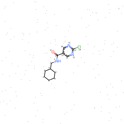 O=C(NCC1CCCCC1)c1cnc(Cl)nc1